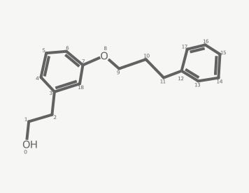 OCCc1cccc(OCCCc2ccccc2)c1